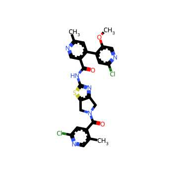 COc1cnc(Cl)cc1-c1cc(C)ncc1C(=O)Nc1nc2c(s1)CN(C(=O)c1cc(Cl)ncc1C)C2